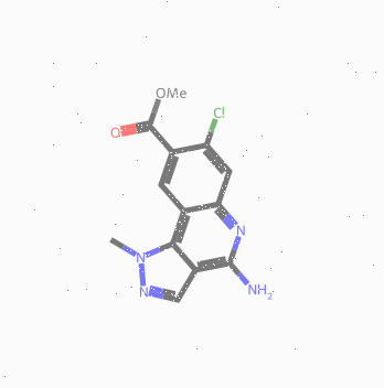 COC(=O)c1cc2c(cc1Cl)nc(N)c1cnn(C)c12